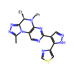 CC[C@@H]1c2nnc(C)n2-c2cnc(-c3cn[nH]c3-c3cscn3)nc2N1C(C)C